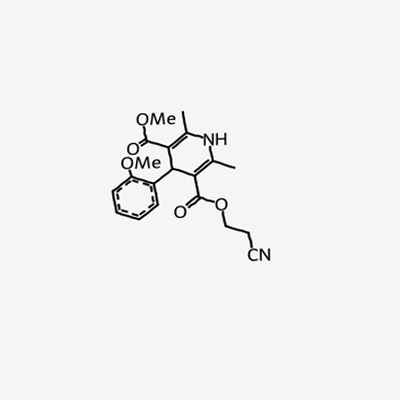 COC(=O)C1=C(C)NC(C)=C(C(=O)OCCC#N)C1c1ccccc1OC